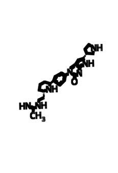 CC(=N)NCC[C@@H]1CCC[C@@H](c2ccc(-n3cc4cc([C@@H]5CCNC5)[nH]c4nc3=O)cc2)N1